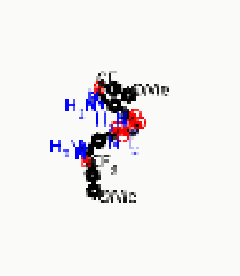 COc1cccc(-c2ccc([C@@H](Oc3cc(-c4ccc(C[C@H](N)C(=O)OC(=O)/C=C\C(=O)OC(=O)[C@@H](N)Cc5ccc(-c6cc(O[C@H](c7ccc(-c8cccc(OC)c8)cc7)C(F)(F)F)nc(N)n6)cc5)cc4)nc(N)n3)C(F)(F)F)cc2)c1